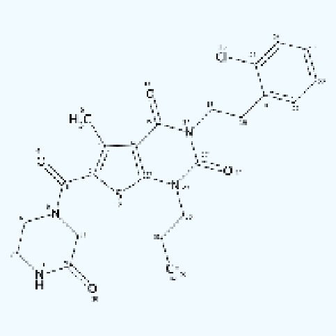 Cc1c(C(=O)N2CCNC(=O)C2)sc2c1c(=O)n(CCc1ccccc1Cl)c(=O)n2CCC(F)(F)F